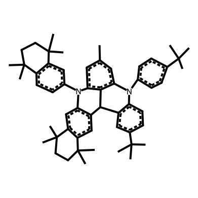 Cc1cc2c3c(c1)N(c1ccc4c(c1)C(C)(C)CCC4(C)C)c1cc4c(cc1C3c1cc(C(C)(C)C)ccc1N2c1ccc(C(C)(C)C)cc1)C(C)(C)CCC4(C)C